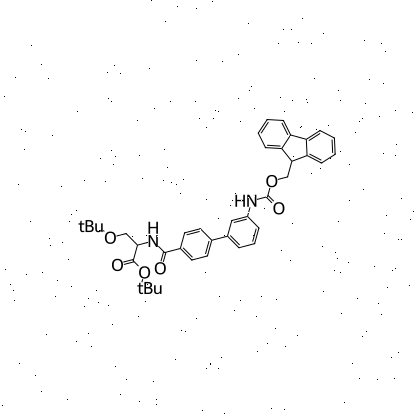 CC(C)(C)OCC(NC(=O)c1ccc(-c2cccc(NC(=O)OCC3c4ccccc4-c4ccccc43)c2)cc1)C(=O)OC(C)(C)C